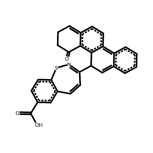 O=C(O)c1ccc2c(c1)C=CC(C1C=c3ccccc3=c3ccc4c(c31)C(=O)CCC=4)=NS2